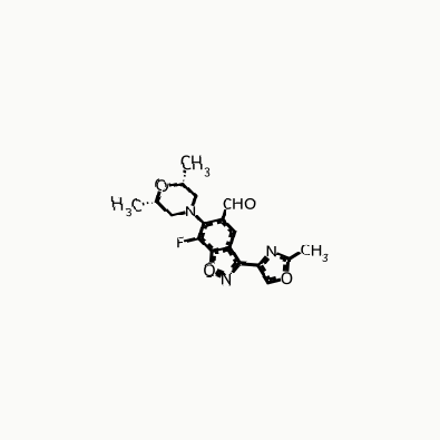 Cc1nc(-c2noc3c(F)c(N4C[C@@H](C)O[C@@H](C)C4)c(C=O)cc23)co1